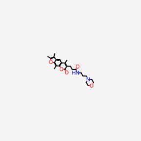 Cc1oc2c(C)c3oc(=O)c(CCC(=O)NCCCN4CCOCC4)c(C)c3cc2c1C